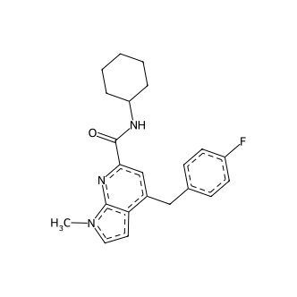 Cn1ccc2c(Cc3ccc(F)cc3)cc(C(=O)NC3CCCCC3)nc21